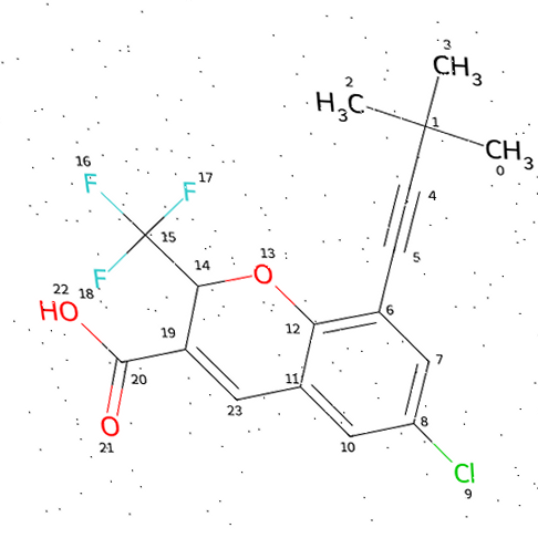 CC(C)(C)C#Cc1cc(Cl)cc2c1OC(C(F)(F)F)C(C(=O)O)=C2